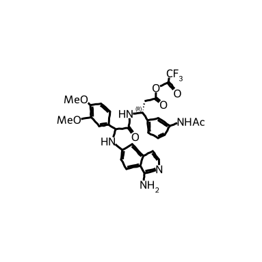 COc1ccc(C(Nc2ccc3c(N)nccc3c2)C(=O)N[C@H](CC(=O)OC(=O)C(F)(F)F)c2cccc(NC(C)=O)c2)cc1OC